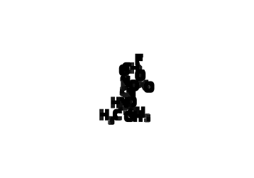 CCC(CC)(CO)NC(=O)c1ccc(N2CC(OC)C2)c(OCC2(COCCCF)COC2)n1